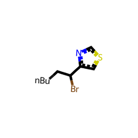 CCCCCC(Br)c1cscn1